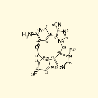 N#Cc1ncn2c1-c1cnc(N)c(c1)OCc1cc(F)ccc1-c1cncc(F)c1C2